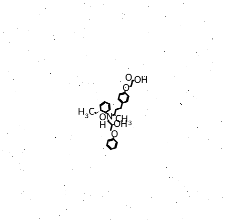 CC[C@@H]1C=CC=CC1(O)N(C[C@H](O)COc1ccccc1)[C@H](C)CCc1ccc(OCC(=O)O)cc1